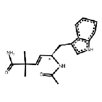 CC(=O)N[C@@H](C=CC(C)(C)C(N)=O)Cc1c[nH]c2ccccc12